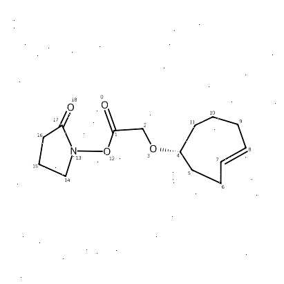 O=C(CO[C@H]1CC/C=C/CCC1)ON1CCCC1=O